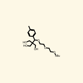 CCCCOCCOCCOC(c1ccc(C)cc1)C(CO)(CO)CO